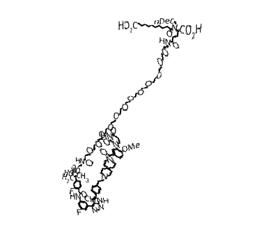 CCCCCCCCCCCN(C(=O)CCCCCCCCCC(=O)O)C(CCC(=O)NCCOCCOCCOCCOCCOCCOCCOCCOCCOCCOCCOCCOCCC(=O)NCCOP(=O)(O)C(C)(C)c1ccc(C(=O)Nc2cc(F)cc(-c3ncnc4[nH]c(-c5ccc(CCN6CCC7(CC6)CCN(C(=O)c6ccc(OC)c(N8CCC(=O)NC8=O)c6)CC7)cc5)cc34)c2C)c(F)c1)C(=O)O